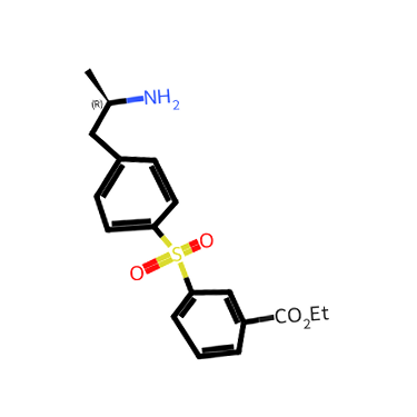 CCOC(=O)c1cccc(S(=O)(=O)c2ccc(C[C@@H](C)N)cc2)c1